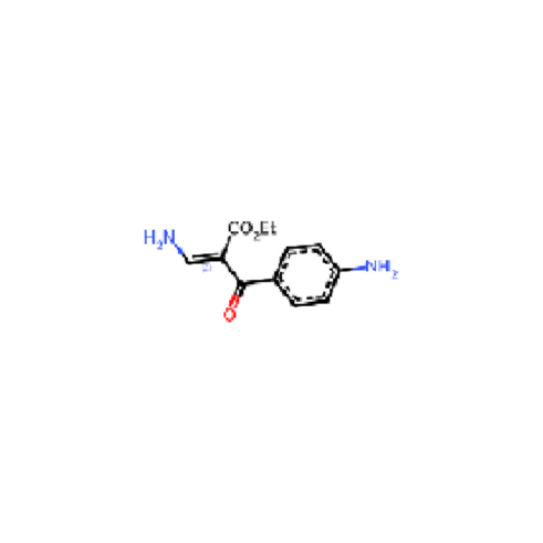 CCOC(=O)/C(=C\N)C(=O)c1ccc(N)cc1